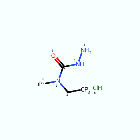 CC(C)N(CC(F)(F)F)C(=O)NN.Cl